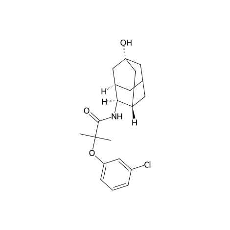 CC(C)(Oc1cccc(Cl)c1)C(=O)N[C@H]1[C@@H]2CC3C[C@H]1C[C@](O)(C3)C2